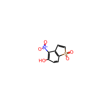 O=[N+]([O-])c1c(O)ccc2c1C=CS2(=O)=O